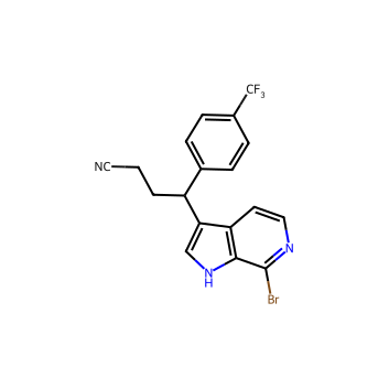 N#CCCC(c1ccc(C(F)(F)F)cc1)c1c[nH]c2c(Br)nccc12